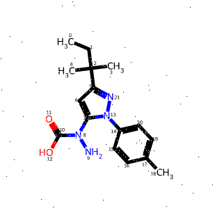 CCC(C)(C)c1cc(N(N)C(=O)O)n(-c2ccc(C)cc2)n1